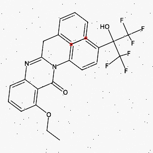 CCOc1cccc2nc(Cc3ccccc3)n(-c3ccc(C(O)(C(F)(F)F)C(F)(F)F)cc3)c(=O)c12